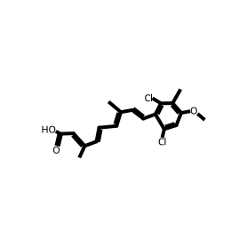 COc1cc(Cl)c(C=CC(C)=CC=CC(C)=CC(=O)O)c(Cl)c1C